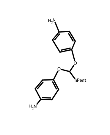 CCCCCC(Oc1ccc(N)cc1)Oc1ccc(N)cc1